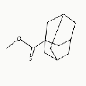 COC(=S)C12CC3CC(CC(C3)C1)C2